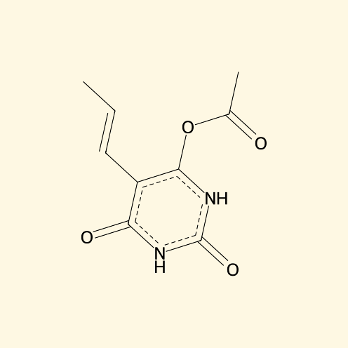 C/C=C/c1c(OC(C)=O)[nH]c(=O)[nH]c1=O